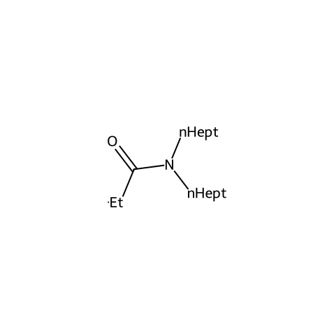 C[CH]C(=O)N(CCCCCCC)CCCCCCC